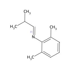 Cc1cccc(C)c1/N=C/C(C)C